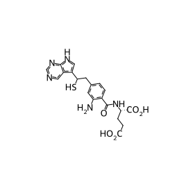 Nc1cc(CC(S)c2c[nH]c3ncncc23)ccc1C(=O)N[C@@H](CCC(=O)O)C(=O)O